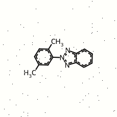 Cc1ccc(C)c(-n2nc3ccccc3n2)c1